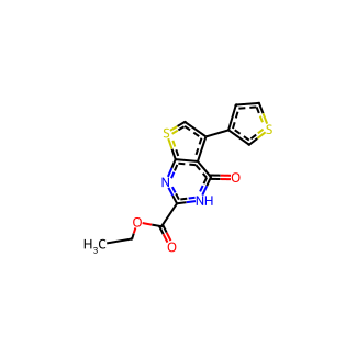 CCOC(=O)c1nc2scc(-c3ccsc3)c2c(=O)[nH]1